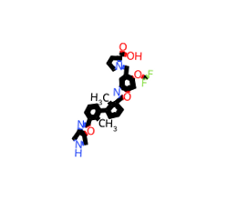 Cc1c(-c2nc3c(o2)CNC3)cccc1-c1cccc(-c2nc3cc(CN4CCC[C@H]4C(=O)O)c(OC(F)F)cc3o2)c1C